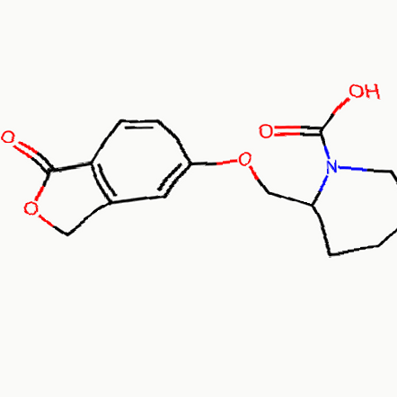 O=C1OCc2cc(OCC3CCCCN3C(=O)O)ccc21